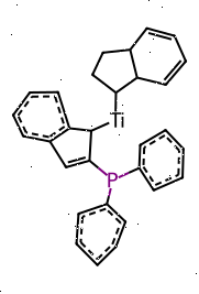 C1=CC2CC[CH]([Ti][CH]3C(P(c4ccccc4)c4ccccc4)=Cc4ccccc43)C2C=C1